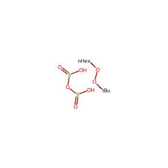 CCCCCCOOC(C)(C)C.O=S(O)OS(=O)O